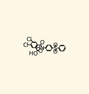 O=C(O)c1cc(Cl)c(Cl)cc1C(=O)Nc1ccc(S(=O)(=O)c2ccccc2)cc1